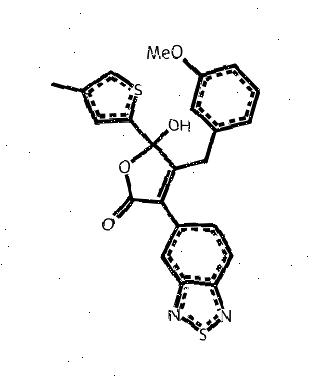 COc1cccc(CC2=C(c3ccc4nsnc4c3)C(=O)OC2(O)c2cc(C)cs2)c1